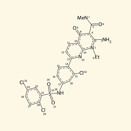 CCn1c(N)c(C(=O)NC)c(=O)c2ccc(-c3ccc(NS(=O)(=O)c4cc(Cl)ccc4Cl)cc3Cl)nc21